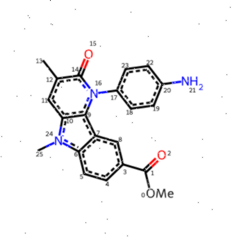 COC(=O)c1ccc2c(c1)c1c(cc(C)c(=O)n1-c1ccc(N)cc1)n2C